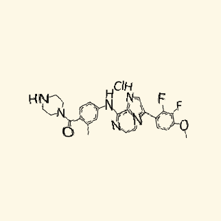 COc1ccc(-c2cnc3c(Nc4ccc(C(=O)N5CCNCC5)c(C)c4)nccn23)c(F)c1F.Cl